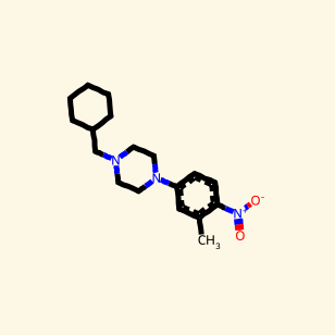 Cc1cc(N2CCN(CC3CCCCC3)CC2)ccc1[N+](=O)[O-]